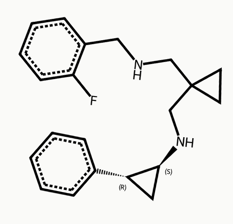 Fc1ccccc1CNCC1(CN[C@H]2C[C@@H]2c2ccccc2)CC1